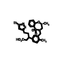 CCn1cc(CCC(CC(=O)O)c2ccc(C)c(CN3C[C@@H](C)Oc4ccccc4S3(=O)=O)c2)nn1